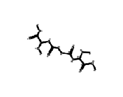 COC(=O)C(OC)OC(=O)CCC(=O)OC(OC)C(=O)OC